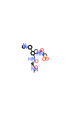 Cc1noc([C@H]2C[C@@H]2C(=O)NCc2ccc(-c3cccc(-n4cccn4)c3)c3c2CN(C(=O)NC2(C)CCS(=O)(=O)C2)CC3)n1